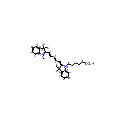 C[N+]1=C(/C=C/C=C/C=C2/N(CCCCCC(=O)O)c3ccccc3C2(C)C)C(C)(C)c2ccccc21